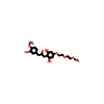 COCCOCCOc1cc(O)c(CC(=O)Cc2ccc(OC)c(O)c2)c(O)c1